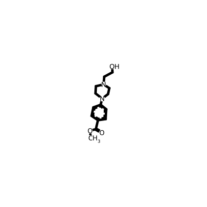 COC(=O)c1ccc(N2CCN(CCO)CC2)cc1